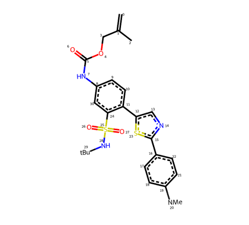 C=C(C)COC(=O)Nc1ccc(-c2cnc(-c3ccc(NC)cc3)s2)c(S(=O)(=O)NC(C)(C)C)c1